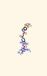 CS(=O)(=O)c1ccc2c(c1)CCN2C(=O)CCC(=O)N1CCC2(CC1)CN/C(=N\C(=O)c1nc(I)c(N)nc1N)N2